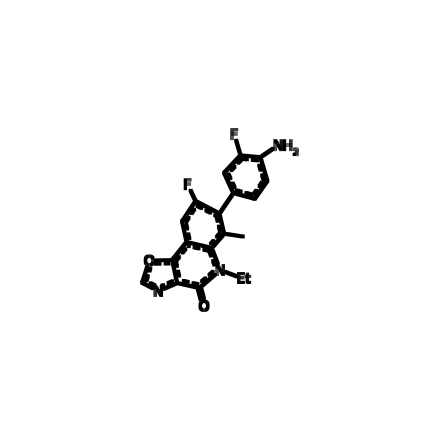 CCn1c(=O)c2ncoc2c2cc(F)c(-c3ccc(N)c(F)c3)c(C)c21